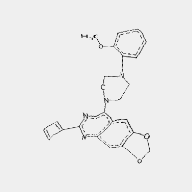 COc1ccccc1N1CCN(c2nc(C3=CC=C3)nc3cc4c(cc23)OCO4)CC1